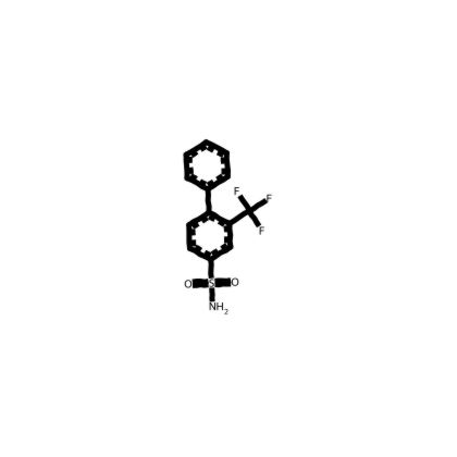 NS(=O)(=O)c1ccc(-c2ccccc2)c(C(F)(F)F)c1